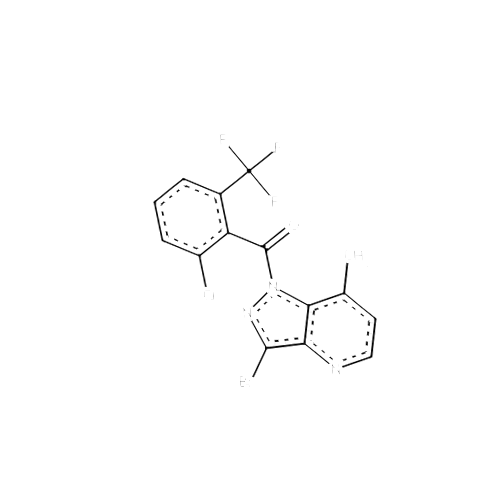 Cc1ccnc2c(Br)nn(C(=O)c3c(Cl)cccc3C(F)(F)F)c12